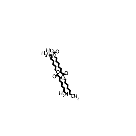 CCCCCCCOC(=O)CCCCCCN.CCCCCCCOC(=O)CCCCCCNC(=O)O